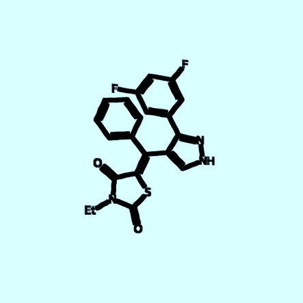 CCN1C(=O)SC(=C(c2ccccc2)c2c[nH]nc2-c2cc(F)cc(F)c2)C1=O